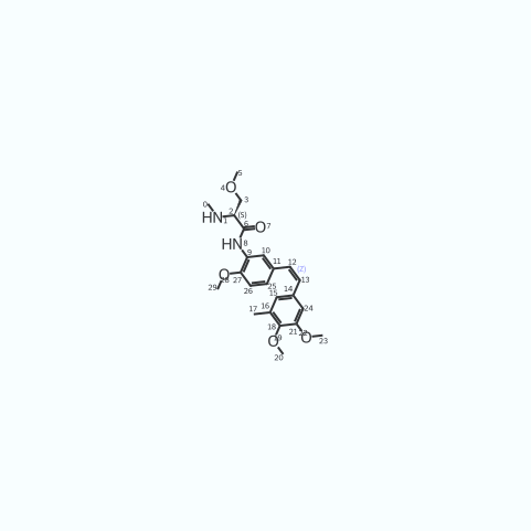 CN[C@@H](COC)C(=O)Nc1cc(/C=C\c2cc(C)c(OC)c(OC)c2)ccc1OC